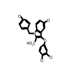 O=C(O)c1c(Oc2ccc(Cl)c(Cl)c2)c2cc(Cl)ccc2n1Cc1ccc(Cl)cc1